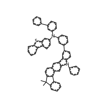 CC1(C)c2ccccc2-c2c1ccc1cc3c4cc(-c5cccc(N(c6cccc(-c7ccccc7)c6)c6ccc7c(c6)sc6ccccc67)c5)ccc4n(-c4ccccc4)c3cc21